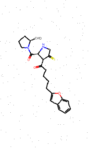 O=C[C@@H]1CCCN1C(=O)[C@H]1NCC(=S)C1C(=O)CCCCc1cc2ccccc2o1